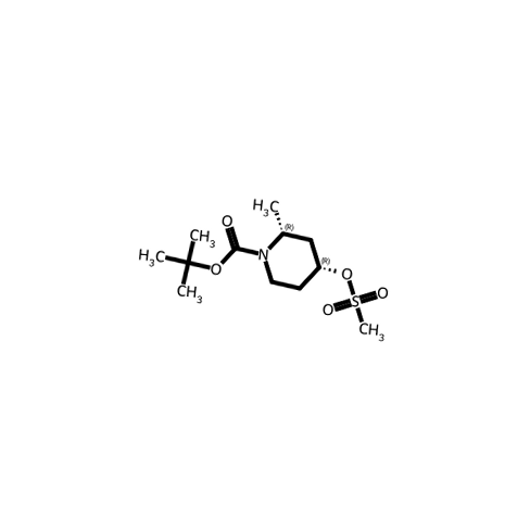 C[C@@H]1C[C@H](OS(C)(=O)=O)CCN1C(=O)OC(C)(C)C